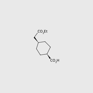 CCOC(=O)C[C@H]1CC[C@@H](C(=O)O)CC1